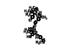 Cc1ncsc1-c1ccc(CNC(=O)[C@@H]2C[C@@H](O)CC2C(=O)C(NC(=O)CO[C@H]2CCN(c3ccc([C@@H](C)NC(=O)C[C@@H]4N=C(c5ccc(Cl)cc5)c5c(sc(C)c5C)-n5c(C)nnc54)cc3)C2)C(C)(C)C)cc1